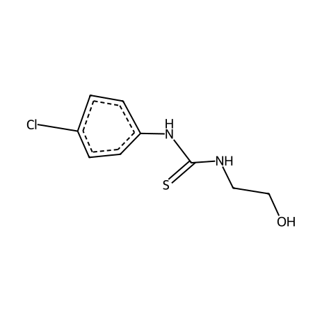 OCCNC(=S)Nc1ccc(Cl)cc1